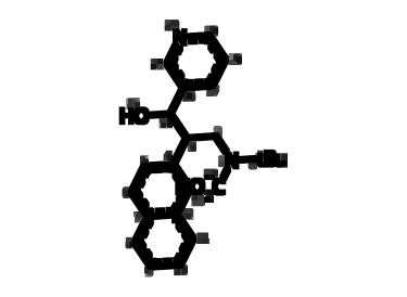 CC(C)(C)N(CC(c1ccc2ccccc2c1)C(O)c1cccnc1)C(=O)O